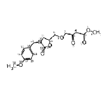 COC(=O)CC(=O)COCC1CN(Cc2ccc(OC)cc2)C(=O)O1